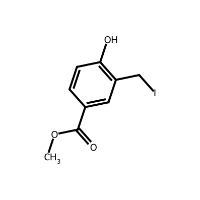 COC(=O)c1ccc(O)c(CI)c1